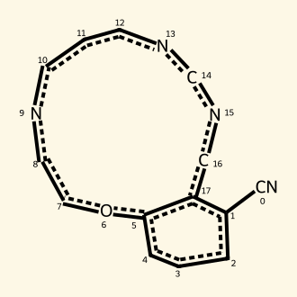 N#Cc1cccc2occncccncncc12